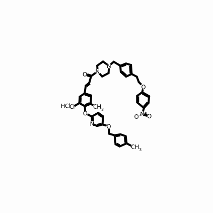 Cc1ccc(COc2ccc(Oc3c(C)cc(C=CC(=O)N4CCN(Cc5ccc(CCOc6ccc([N+](=O)[O-])cc6)cc5)CC4)cc3Cl)nc2)cc1.Cl